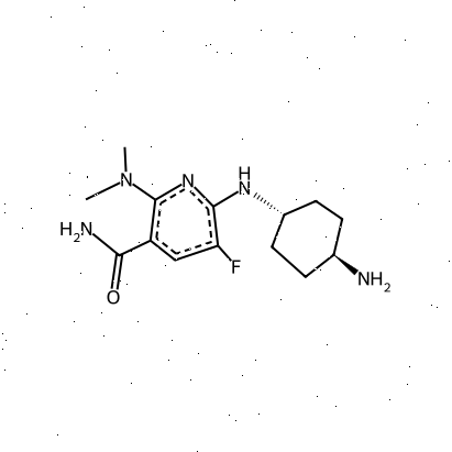 CN(C)c1nc(N[C@H]2CC[C@H](N)CC2)c(F)cc1C(N)=O